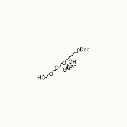 CC(=O)[O-].CCCCCCCCCCCCCCC(O)COCCOCCOCCO.[Na+]